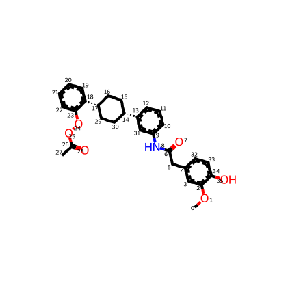 COc1cc(CC(=O)Nc2cccc([C@H]3CC[C@@H](c4ccccc4OOC(C)=O)CC3)c2)ccc1O